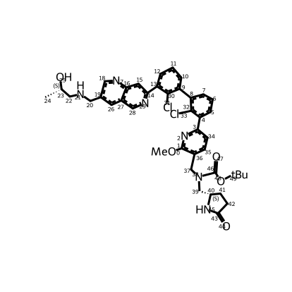 COc1nc(-c2cccc(-c3cccc(-c4cc5ncc(CNC[C@H](C)O)cc5cn4)c3Cl)c2Cl)ccc1CN(C[C@@H]1CCC(=O)N1)C(=O)OC(C)(C)C